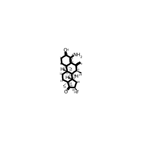 C=C1C2=C(N)C(=O)CC[C@]2(C)[C@H]2CC[C@]3(C)C(=O)[C@H](F)C[C@H]3[C@@H]2[C@@H]1C